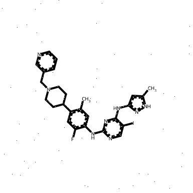 Cc1cc(Nc2nc(Nc3cc(C)c(C4CCN(Cc5cccnc5)CC4)cc3F)ncc2I)n[nH]1